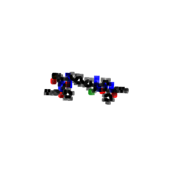 COC(=O)N[C@H](C(=O)N1C[C@@H]([S+](C)[O-])C[C@H]1c1ncc(-c2ccc(-c3ccc(-c4[nH]c([C@@H]5CCCN5C(=O)[C@H](NC(=O)OC)c5ccccc5)nc4Cl)cc3)cc2)[nH]1)c1ccccc1